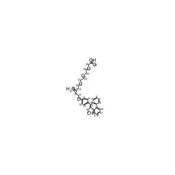 CCC(=C(c1ccccc1)c1ccc(OCCN(C)CCOCCOCCOCC(=O)O)cc1)c1ccccc1